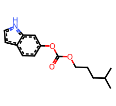 CC(C)CCCOC(=O)Oc1ccc2cc[nH]c2c1